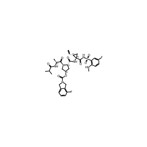 C=C[C@@H]1C[C@]1(NC(=O)[C@@H]1C[C@@H](OC(=O)N2Cc3cccc(F)c3C2)CN1C(=O)[C@H](C)NC(=O)C(C)C)C(=O)NS(=O)(=O)c1cc(F)ccc1NC